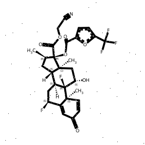 C[C@@H]1C[C@H]2[C@@H]3C[C@H](F)C4=CC(=O)C=C[C@]4(C)[C@@]3(F)[C@@H](O)C[C@]2(C)[C@@]1(OC(=O)c1ccc(C(F)(F)F)o1)C(=O)OCC#N